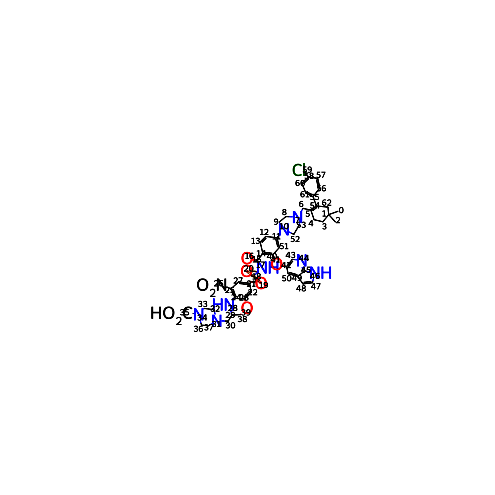 CC1(C)CCC(CN2CCN(c3ccc(C(=O)NS(=O)(=O)c4cc5c(c([N+](=O)[O-])c4)NC(CN4CCN(C(=O)O)CC4)CO5)c(Oc4cnc5[nH]ccc5c4)c3)CC2)=C(c2ccc(Cl)cc2)C1